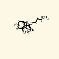 CCCCOC(=O)N1C2CNCC1(C)C(O)C2